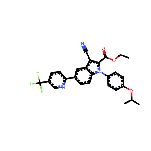 CCOC(=O)c1c(C#N)c2cc(-c3ccc(C(F)(F)F)cn3)ccc2n1-c1ccc(OC(C)C)cc1